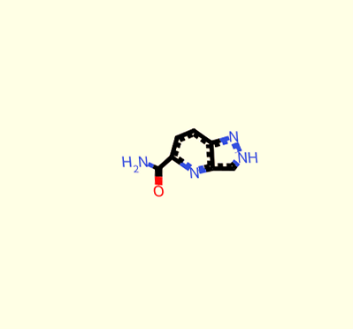 NC(=O)c1ccc2n[nH]cc2n1